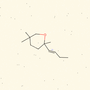 CC/C=C/C1(C)CCC(C)(C)CO1